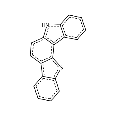 c1ccc2c(c1)[nH]c1ccc3c4ccccc4sc3c12